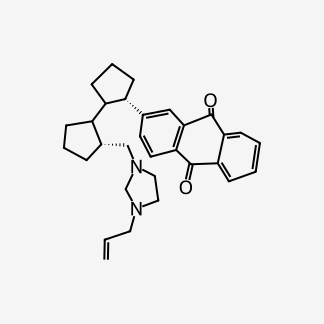 C=CCN1CCN(C[C@@H]2CCCC2C2CCC[C@@H]2c2ccc3c(c2)C(=O)c2ccccc2C3=O)C1